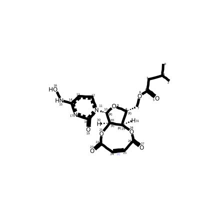 CC(C)CC(=O)OC[C@H]1O[C@@H](n2ccc(NO)nc2=O)[C@@H]2OC(=O)/C=C\C(=O)O[C@@H]21